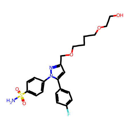 NS(=O)(=O)c1ccc(-n2nc(COCCCCOCCO)cc2-c2ccc(F)cc2)cc1